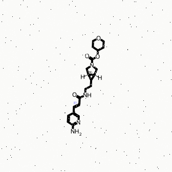 Nc1ccc(/C=C/C(=O)NCCC2[C@H]3CN(C(=O)OC4CCOCC4)C[C@@H]23)cn1